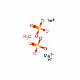 O.O=P([O-])([O-])[O-].O=P([O-])([O-])[O-].[Fe+3].[H+].[Mg+2]